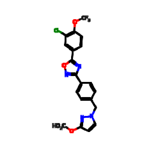 O=C(O)Oc1ccn(Cc2ccc(-c3noc(-c4ccc(OC(F)(F)F)c(Cl)c4)n3)cc2)n1